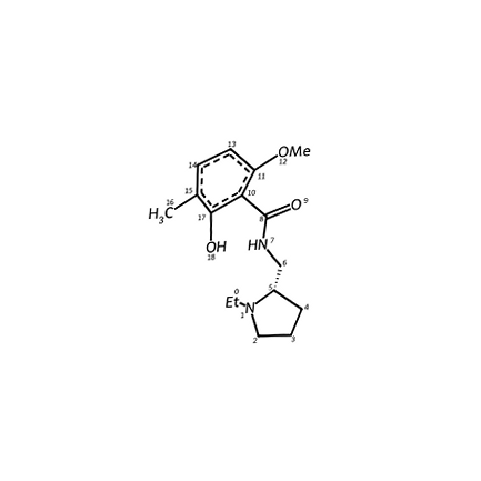 CCN1CCC[C@H]1CNC(=O)c1c(OC)ccc(C)c1O